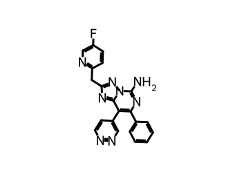 Nc1nc(-c2ccccc2)c(-c2ccnnc2)c2nc(Cc3ccc(F)cn3)nn12